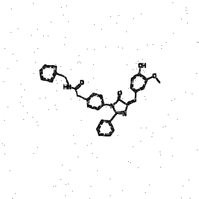 COc1cc(C=C2N=C(c3ccccc3)N(c3ccc(CC(=O)NCc4ccccc4)cc3)C2=O)ccc1O